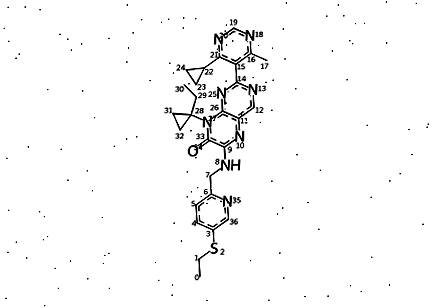 CCSc1ccc(CNc2nc3cnc(-c4c(C)ncnc4C4CC4)nc3n(C3(CC)CC3)c2=O)nc1